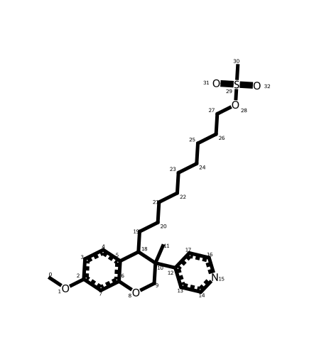 COc1ccc2c(c1)OCC(C)(c1ccncc1)C2CCCCCCCCCOS(C)(=O)=O